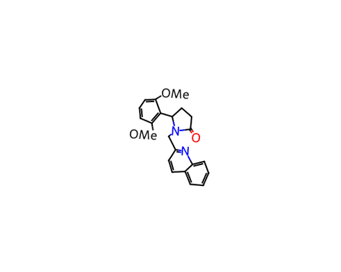 COc1cccc(OC)c1C1CCC(=O)N1Cc1ccc2ccccc2n1